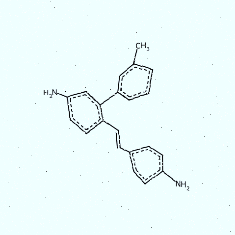 Cc1cccc(-c2cc(N)ccc2/C=C/c2ccc(N)cc2)c1